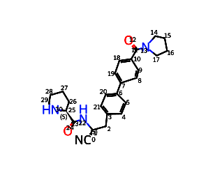 N#C[C@H](Cc1ccc(-c2ccc(C(=O)N3CCCC3)cc2)cc1)NC(=O)[C@@H]1CCCCN1